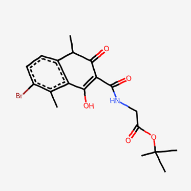 Cc1c(Br)ccc2c1C(O)=C(C(=O)NCC(=O)OC(C)(C)C)C(=O)C2C